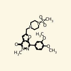 COc1ccc(-c2nn(C)c(=O)c3cc(CN4CCN(S(C)(=O)=O)CC4)oc23)cc1OC